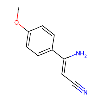 COc1ccc(C(N)=CC#N)cc1